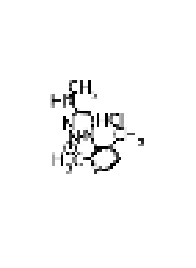 CNC1=CCN(c2c(C)cccc2C)[N+]([O-])=N1.Cl